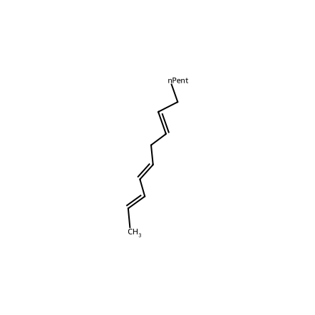 [CH2]CCCCCC=CCC=CC=CC